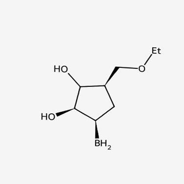 B[C@@H]1C[C@H](COCC)C(O)[C@@H]1O